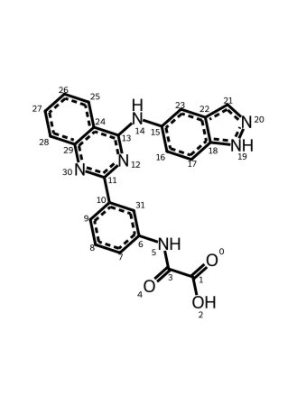 O=C(O)C(=O)Nc1cccc(-c2nc(Nc3ccc4[nH]ncc4c3)c3ccccc3n2)c1